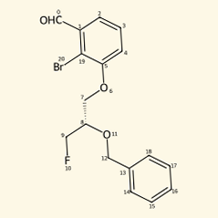 O=Cc1cccc(OC[C@@H](CF)OCc2ccccc2)c1Br